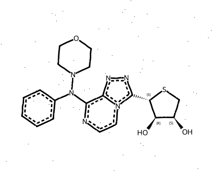 O[C@@H]1[C@H](O)CS[C@H]1c1nnc2c(N(c3ccccc3)N3CCOCC3)nccn12